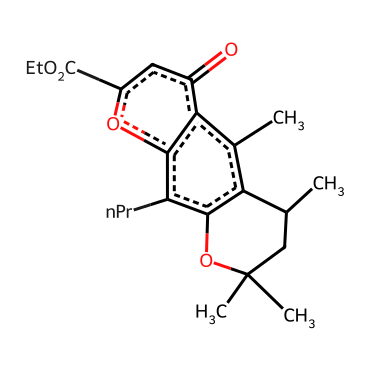 CCCc1c2c(c(C)c3c(=O)cc(C(=O)OCC)oc13)C(C)CC(C)(C)O2